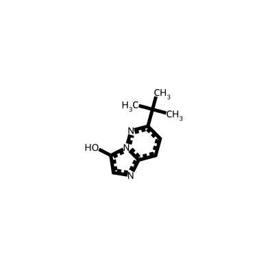 CC(C)(C)c1ccc2ncc(O)n2n1